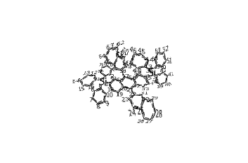 c1ccc([Si](c2ccccc2)(c2ccccc2)c2ccc3c(-c4ccc5ccccc5c4)c4ccc([Si](c5ccccc5)(c5ccccc5)c5ccccc5)cc4c(-c4ccc5ccccc5c4)c3c2)cc1